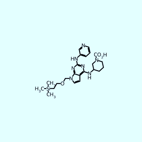 C[Si](C)(C)CCOCn1ccc2c(NC3CCCN(C(=O)O)C3)nc(Nc3cccnc3)nc21